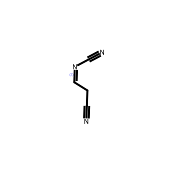 N#CC/C=N\C#N